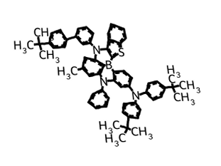 Cc1cc2c3c(c1)N(c1cccc(-c4ccc(C(C)(C)C)cc4)c1)c1c(sc4ccccc14)B3c1ccc(N(c3ccc(C(C)(C)C)cc3)c3ccc(C(C)(C)C)cc3)cc1N2c1ccccc1